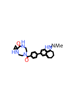 CNNC1=c2ccc(-c3ccc(C(=O)N4CCNC(=O)C5(CC5)NCC4)cc3)cc2=CCCC1